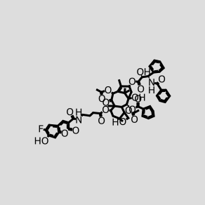 CC(=O)OC1C(=O)C2(C)C(OC(=O)CCCNC(=O)c3cc4cc(F)c(O)cc4oc3=O)C[C@@H]3OC[C@@]3(OC(C)=O)C2[C@H](OC(=O)c2ccccc2)C2(O)CC(OC(=O)[C@H](O)[C@@H](NC(=O)c3ccccc3)c3ccccc3)C(C)=C1C2(C)C